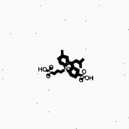 CC(C)=Cc1c2cc(C)ccc2[n+](CCCS(=O)(=O)O)c2ccc(S(=O)(=O)O)cc12